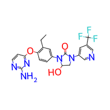 CCc1cc(N2C(=O)N(c3cncc(C(F)(F)F)c3)CC2O)ccc1Oc1ccnc(N)n1